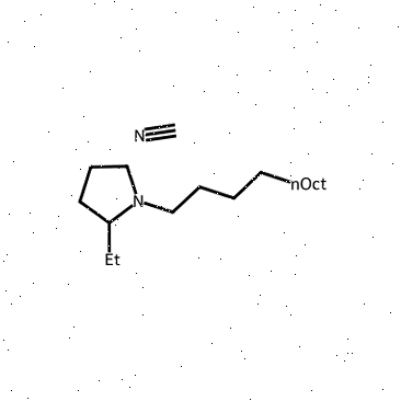 C#N.CCCCCCCCCCCCN1CCCC1CC